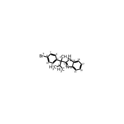 CC(C)C(C)(c1ccc(Br)cc1)c1nc2ccccc2[nH]1